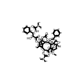 CO[C@H]1C[C@H]2OC[C@@]2(OC(C)=O)[C@H]2[C@H](OC(=O)c3ccccc3)[C@]34OC(=O)O[C@H]3[C@H](OC(=O)[C@H](O)[C@@H](NC(=O)N(C)C)c3ccccc3)C(C)=C([C@@H](OC(=O)N(C)C)C(=O)[C@]12C)C4(C)C